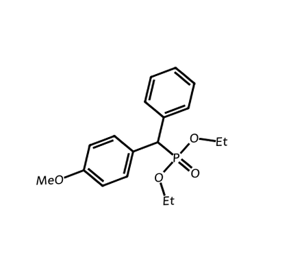 CCOP(=O)(OCC)C(c1ccccc1)c1ccc(OC)cc1